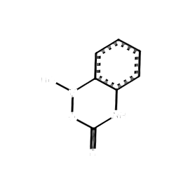 O=C1Nc2ccccc2B(O)O1